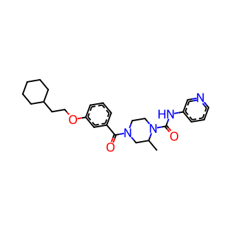 CC1CN(C(=O)c2cccc(OCCC3CCCCC3)c2)CCN1C(=O)Nc1cccnc1